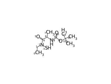 CCN(S)C(=O)C(C)NC(=O)OC(C)(C)C